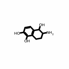 NC1CCc2c(ccc(O)c2O)C1O